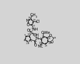 COc1c(NC(=O)c2sccc2S(=O)(=O)Nc2onc(C)c2Cl)c(C#N)cc2c1OCO2